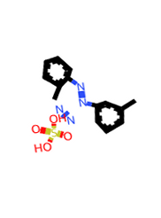 Cc1cccc(N=Nc2ccccc2C)c1.N#N.O=S(=O)(O)O